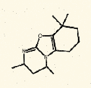 CC1CC(C)N2C(=N1)OC1=C2CCCC1(C)C